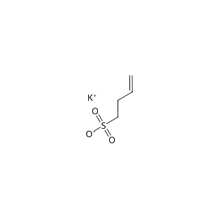 C=CCCS(=O)(=O)[O-].[K+]